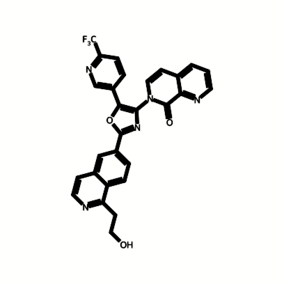 O=c1c2ncccc2ccn1-c1nc(-c2ccc3c(CCO)nccc3c2)oc1-c1ccc(C(F)(F)F)nc1